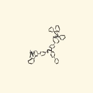 CCn1c2ccccc2c2cc(-c3ccc(N(c4ccc(-c5ccccc5)cc4)c4ccc(-c5ccc([Si](c6ccccc6)(c6ccccc6)c6ccccc6)cc5)cc4)cc3)ccc21